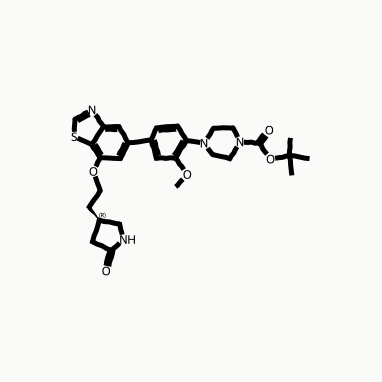 COc1cc(-c2cc(OCC[C@H]3CNC(=O)C3)c3scnc3c2)ccc1N1CCN(C(=O)OC(C)(C)C)CC1